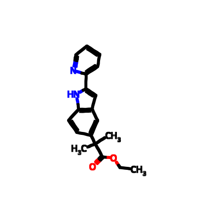 CCOC(=O)C(C)(C)c1ccc2[nH]c(-c3ccccn3)cc2c1